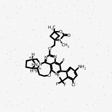 CN1C(=O)OC2(C)CC1(COc1nc3c4c(nc(-c5cc(N)cc(Cl)c5C(F)(F)F)c(F)c4n1)OCC[C@@H]1[C@@H]4CC[C@H](CN31)N4)C2